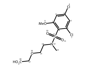 COc1cc(Cl)cc(Cl)c1S(=O)(=O)N(C)CCOCC(=O)O